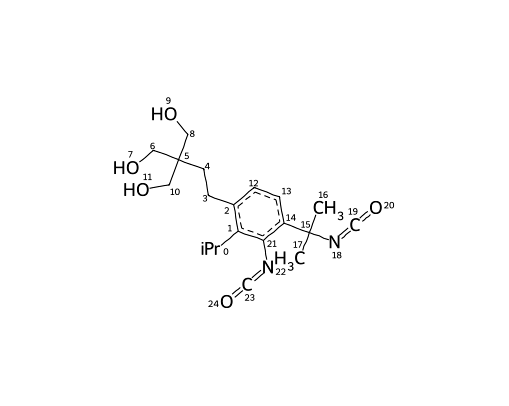 CC(C)c1c(CCC(CO)(CO)CO)ccc(C(C)(C)N=C=O)c1N=C=O